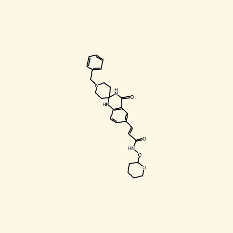 O=C(/C=C/c1ccc2c(c1)C(=O)NC1(CCN(Cc3ccccc3)CC1)N2)NOC1CCCCO1